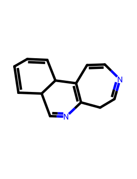 C1=CC2C=NC3=C(C=CN=CC3)C2C=C1